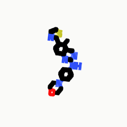 Cc1c(-c2nccs2)ccc2nc(Nc3ccc(N4CCOCC4)cc3)ncc12